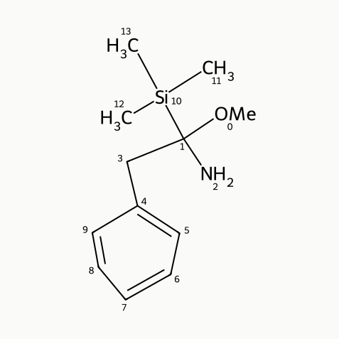 COC(N)(Cc1ccccc1)[Si](C)(C)C